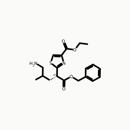 CCOC(=O)c1csc([C@@H](CC(C)CN)C(=O)OCc2ccccc2)n1